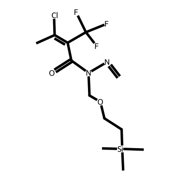 C=NN(COCC[Si](C)(C)C)C(=O)/C(=C(\C)Cl)C(F)(F)F